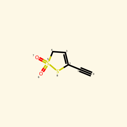 C#CC1=CCS(=O)(=O)S1